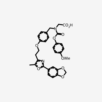 COc1ccc(OC(=O)N(CC(=O)O)Cc2ccc(OCCc3nc(-c4ccc5c(c4)OCO5)oc3C)cc2)cc1